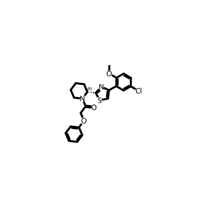 COc1ccc(Cl)cc1-c1csc([C@H]2CCCCN2C(=O)COc2ccccc2)n1